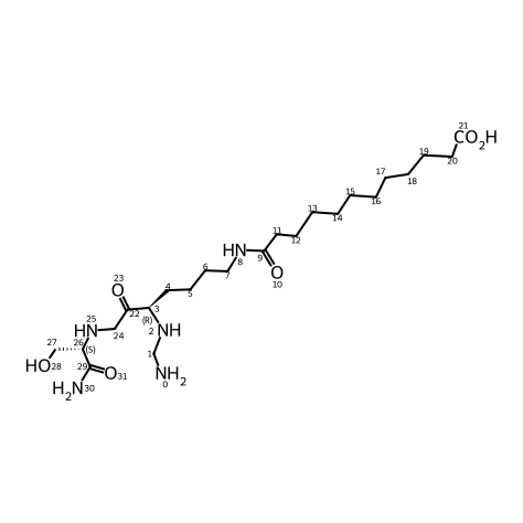 NCN[C@H](CCCCNC(=O)CCCCCCCCCCC(=O)O)C(=O)CN[C@@H](CO)C(N)=O